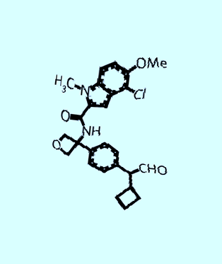 COc1ccc2c(cc(C(=O)NC3(c4ccc(C(C=O)C5CCC5)cc4)COC3)n2C)c1Cl